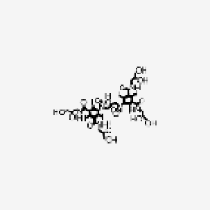 O=CN(CC(O)(O)CN(C=O)c1c(I)c(C(=O)NCC(O)CO)c(I)c(C(=O)NCC(O)CO)c1I)c1c(I)c(C(=O)NCC(O)CO)c(I)c(C(=O)NCC(O)CO)c1I